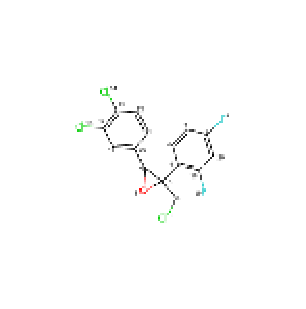 Fc1ccc(C2(CCl)OC2c2ccc(Cl)c(Cl)c2)c(F)c1